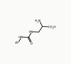 CC(C)NC(=O)NCC(N)C(=O)O